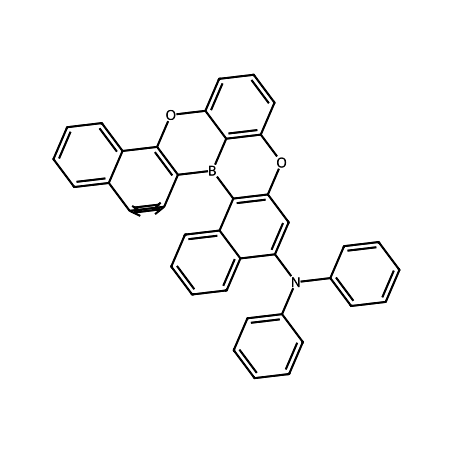 c1ccc(N(c2ccccc2)c2cc3c(c4ccccc24)B2c4c(cccc4Oc4c2c2ccccc2c2ccccc42)O3)cc1